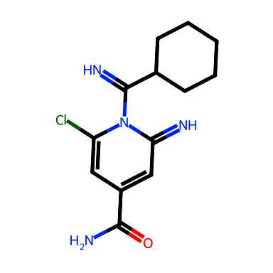 N=C(C1CCCCC1)n1c(Cl)cc(C(N)=O)cc1=N